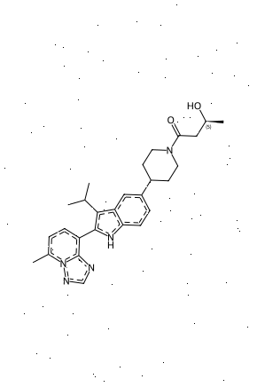 Cc1ccc(-c2[nH]c3ccc(C4CCN(C(=O)C[C@H](C)O)CC4)cc3c2C(C)C)c2ncnn12